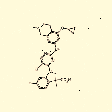 CN1CCc2c(cc(Nc3ncc(Cl)c(N4CC(C)(C(=O)O)c5ccc(F)cc54)n3)cc2OC2CC2)C1